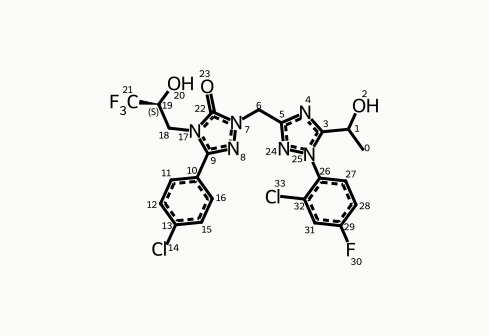 CC(O)c1nc(Cn2nc(-c3ccc(Cl)cc3)n(C[C@H](O)C(F)(F)F)c2=O)nn1-c1ccc(F)cc1Cl